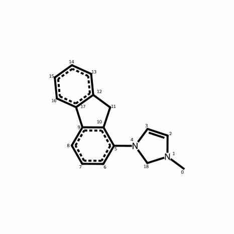 CN1C=CN(c2cccc3c2Cc2ccccc2-3)C1